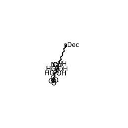 CCCCCCCCCCCCCCCCCCNC(=O)[C@H](O)[C@@H](O)[C@H](O)[C@H](O)COS(=O)(=O)[O-].[Na+]